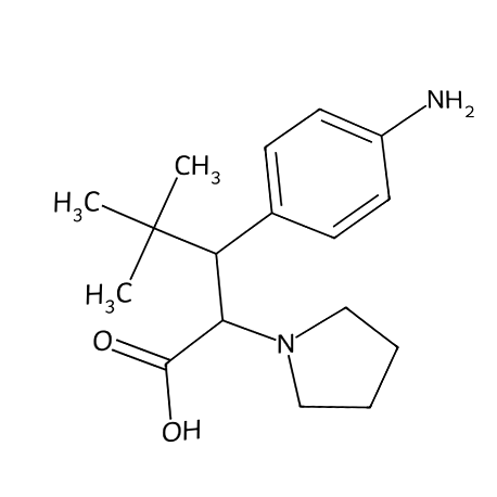 CC(C)(C)C(c1ccc(N)cc1)C(C(=O)O)N1CCCC1